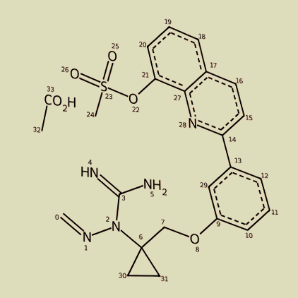 C=NN(C(=N)N)C1(COc2cccc(-c3ccc4cccc(OS(C)(=O)=O)c4n3)c2)CC1.CC(=O)O